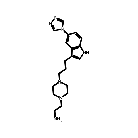 NCCN1CCN(CCCc2c[nH]c3ccc(-n4cnnc4)cc23)CC1